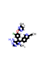 C#Cc1cc2ccc(-c3c(-c4ccc(Oc5nccc(C)n5)c(F)c4)c4c(N)ncnc4n3C)cc2cn1